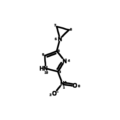 O=[N+]([O-])c1nc(N2CC2)c[nH]1